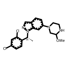 COC1CN(c2ccc3cnn([C@H](C)c4ccc(Cl)cc4Cl)c3c2)CCN1